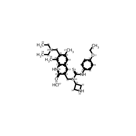 CCOc1ccc(NC(=S)N(Cc2cc3cc(C)c(CN(CC)CC)c(C)c3[nH]c2=O)C2CNC2)cc1.Cl